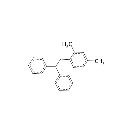 Cc1ccc(CC(c2ccccc2)c2ccccc2)c(C)c1